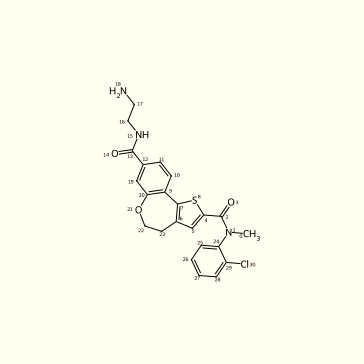 CN(C(=O)c1cc2c(s1)-c1ccc(C(=O)NCCN)cc1OCC2)c1ccccc1Cl